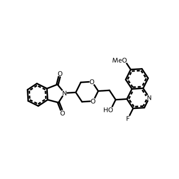 COc1ccc2ncc(F)c(C(O)CC3OCC(N4C(=O)c5ccccc5C4=O)CO3)c2c1